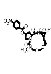 CCOC(=O)C12CC1/C=C/CCCCN(C)C(=O)N1CC(OC(=O)c3ccc([N+](=O)[O-])cc3)CC1C(=O)N2